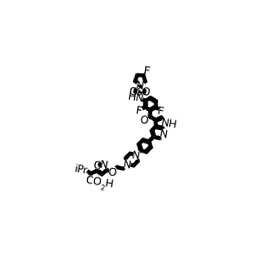 CC(C)C(C(=O)O)c1cc(OCCN2CCN(c3ccc(-c4cnc5[nH]cc(C(=O)c6c(F)ccc(NS(=O)(=O)N7CC[C@@H](F)C7)c6F)c5c4)cc3)CC2)no1